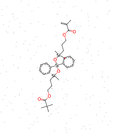 C=C(C)C(=O)OCCC[Si](C)(C)O[Si](O[Si](C)(C)CCCOC(=O)C(C)(C)C)(c1ccccc1)c1ccccc1